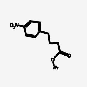 CC(C)OC(=O)CCCc1ccc([N+](=O)[O-])cc1